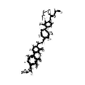 CCCC(O)c1ccc(C2CCC(CCc3ccc(-c4ccc(C5CO5)c(F)c4F)c(F)c3F)CC2)c(F)c1F